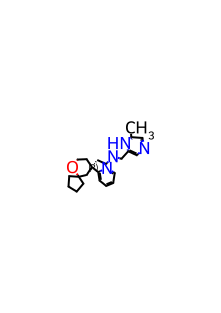 Cc1cncc(CNCC[C@@]2(c3ccccn3)CCOC3(CCCC3)C2)n1